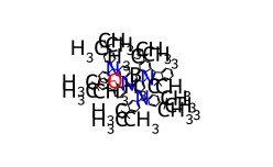 CC(C)(C)c1ccc(N(c2ccc(C(C)(C)C)cc2)c2ccc3c(c2)N(c2cccc4c2oc2ccccc24)c2cc(N(c4ccc(C(C)(C)C)cc4)c4ccc(C(C)(C)C)cc4)cc4c2B3c2cc(C(C)(C)C)cc3c5c(n-4c23)C(C)(C)c2ccccc2-5)cc1